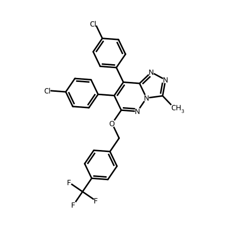 Cc1nnc2c(-c3ccc(Cl)cc3)c(-c3ccc(Cl)cc3)c(OCc3ccc(C(F)(F)F)cc3)nn12